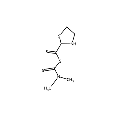 CN(C)C(=S)SC(=S)C1NCCS1